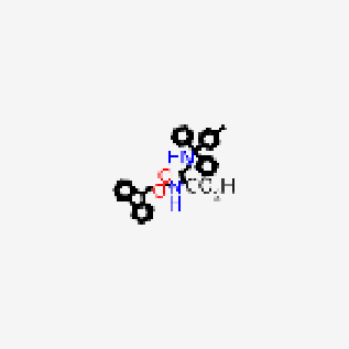 Cc1ccc(C(NCC[C@@H](NC(=O)OCC2c3ccccc3-c3ccccc32)C(=O)O)(c2ccccc2)c2ccccc2)cc1